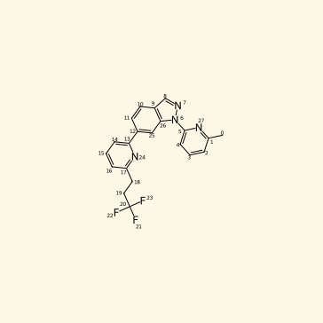 Cc1cccc(-n2ncc3ccc(-c4cccc(CCC(F)(F)F)n4)cc32)n1